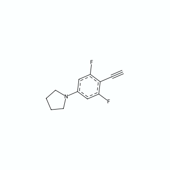 C#Cc1c(F)cc(N2CCCC2)cc1F